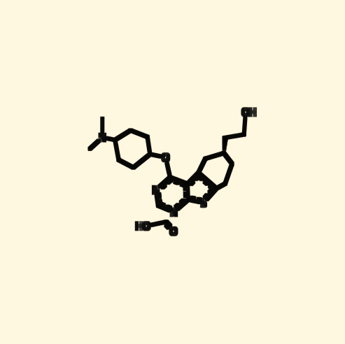 CN(C)C1CCC(Oc2ncnc3sc4c(c23)C[C@@H](CCO)CC4)CC1.O=CO